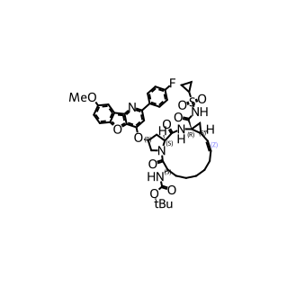 COc1ccc2oc3c(O[C@@H]4C[C@H]5C(=O)N[C@]6(C(=O)NS(=O)(=O)C7CC7)C[C@H]6/C=C\CCCCC[C@H](NC(=O)OC(C)(C)C)C(=O)N5C4)cc(-c4ccc(F)cc4)nc3c2c1